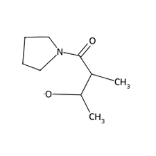 CC([O])C(C)C(=O)N1CCCC1